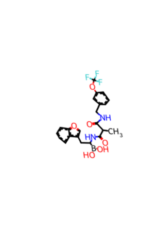 CC(C(=O)NCc1cccc(OC(F)(F)F)c1)C(=O)NC(Cc1coc2ccccc12)B(O)O